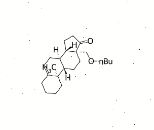 CCCCOC[C@]12CC[C@H]3[C@@H](CC=C4CCCC[C@@]43C)[C@@H]1CCC2=O